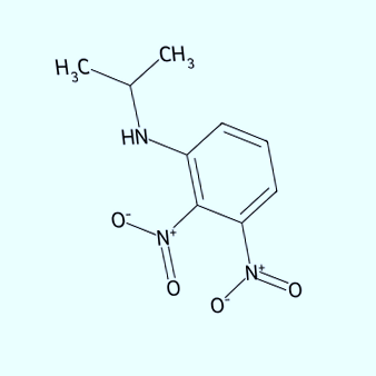 CC(C)Nc1cccc([N+](=O)[O-])c1[N+](=O)[O-]